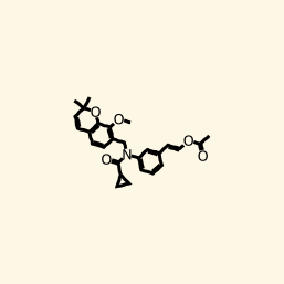 COc1c(CN(C(=O)C2CC2)c2cccc(/C=C/OC(C)=O)c2)ccc2c1OC(C)(C)C=C2